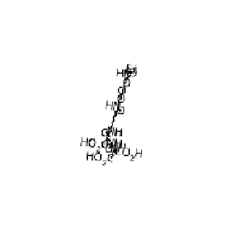 CCC(=O)NCCOCCOCCOCCNC(=O)CCCCCCCNC(=O)CC[C@H](NC(=O)N[C@@H](CCC(=O)O)C(=O)O)C(=O)O